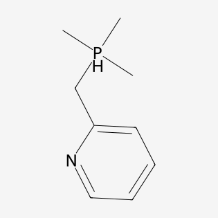 C[PH](C)(C)Cc1ccccn1